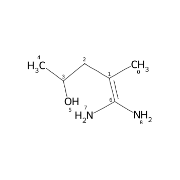 CC(CC(C)O)=C(N)N